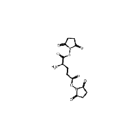 NC(CCC(=O)ON1C(=O)CCC1=O)C(=O)ON1C(=O)CCC1=O